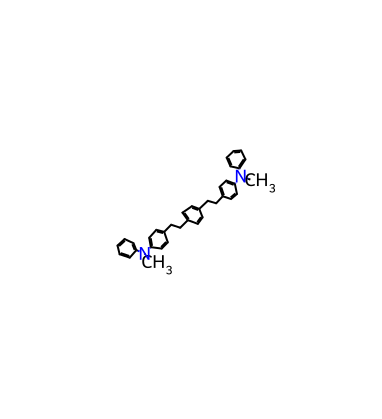 CN(c1ccccc1)c1ccc(CCc2ccc(CCc3ccc(N(C)c4ccccc4)cc3)cc2)cc1